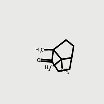 CC12CCC(CCC1=O)C2(C)C